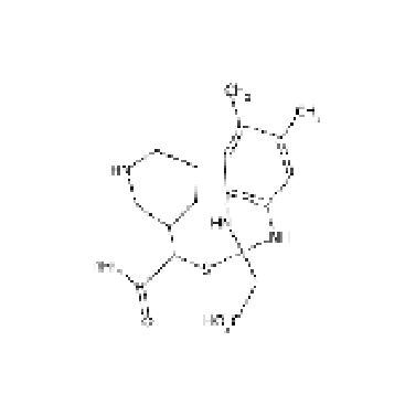 CCCC(=O)C(SC1(CC(=O)O)Nc2cc(C)c(C)cc2N1)C1CCCNC1